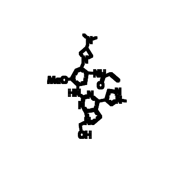 C=CC(=O)Nc1cc(Nc2nc(-c3cnn(C)c3)c3ccn(CO)c3n2)c(OC)cc1N1CC(N(C)C)C1